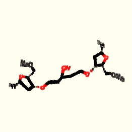 [3H][C@H]1C[C@@H](OCCC(O)CCO[C@@H]2C[C@H]([3H])O[C@@H]2COC)[C@@H](COC)O1